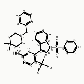 CC1(C)CCN(Cc2ccccc2)C[C@H]1Nc1ncc(C(F)(F)F)c(-c2cn(S(=O)(=O)c3ccccc3)c3ccccc23)n1